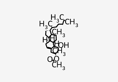 CC(=O)O[C@@H]1CC2=CC[C@H]3[C@@H]4CC[C@H]([C@H](C)CCCC(C)C)[C@@]4(C)CC[C@@H]3[C@@]2(C)[C@@H](O)C1